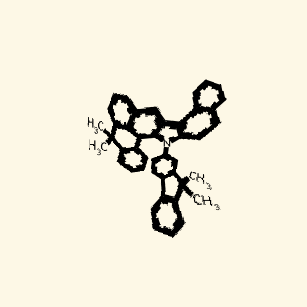 CC1(C)c2ccccc2-c2ccc(-n3c4ccc5ccccc5c4c4cc5cccc6c5c(c43)-c3ccccc3C6(C)C)cc21